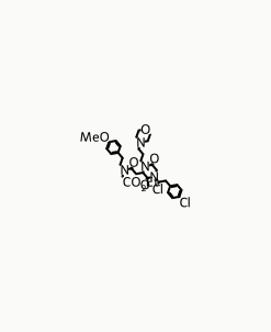 CCOC(=O)CN(CCc1ccc(OC)cc1)C(=O)CC1C(=O)N(C(Cl)Cc2ccc(Cl)cc2)CC(=O)N1CCCN1CCOCC1